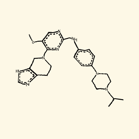 COc1cnc(Nc2ccc(N3CCN(C(C)C)CC3)cc2)nc1N1CCc2nc[nH]c2C1